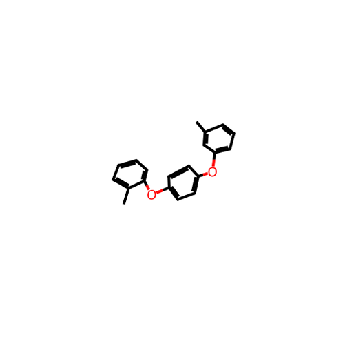 Cc1cccc(Oc2ccc(Oc3ccccc3C)cc2)c1